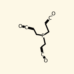 O=C=CCP(CC=C=O)CC=C=O